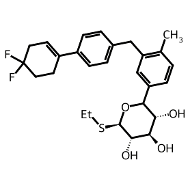 CCS[C@H]1OC(c2ccc(C)c(Cc3ccc(C4=CCC(F)(F)CC4)cc3)c2)[C@H](O)[C@@H](O)[C@@H]1O